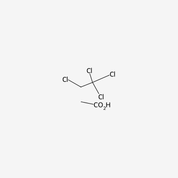 CC(=O)O.ClCC(Cl)(Cl)Cl